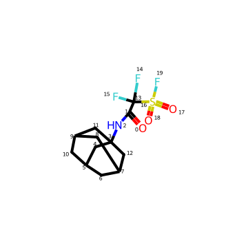 O=C(NC12CC3CC(CC(C3)C1)C2)C(F)(F)S(=O)(=O)F